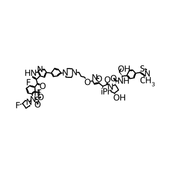 Cc1ncsc1-c1ccc([C@H](CO)NC(=O)[C@@H]2C[C@@H](O)CN2C(=O)[C@H](c2cc(OCCCN3CCN(c4ccc(-c5cnc6[nH]cc(C(=O)c7c(F)ccc(N(N8CC[C@@H](F)C8)[SH](=O)=O)c7F)c6c5)cc4)CC3)no2)C(C)C)cc1